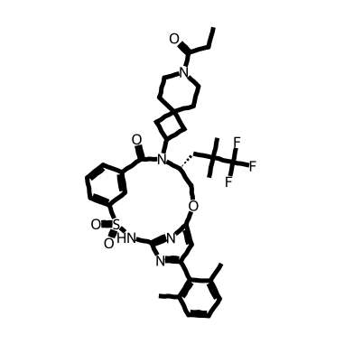 CCC(=O)N1CCC2(CC1)CC(N1C(=O)c3cccc(c3)S(=O)(=O)Nc3nc(cc(-c4c(C)cccc4C)n3)OC[C@H]1CC(C)(C)C(F)(F)F)C2